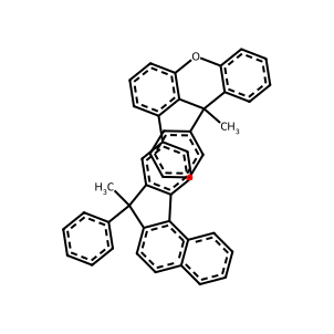 CC1(c2ccccc2)c2cc(-c3cccc4c3C(C)(c3ccccc3)c3ccccc3O4)ccc2-c2c1ccc1ccccc21